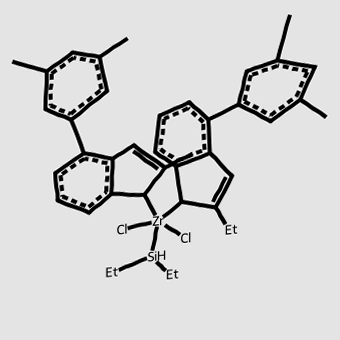 CCC1=Cc2c(-c3cc(C)cc(C)c3)cccc2[CH]1[Zr]([Cl])([Cl])([CH]1C(C)=Cc2c(-c3cc(C)cc(C)c3)cccc21)[SiH](CC)CC